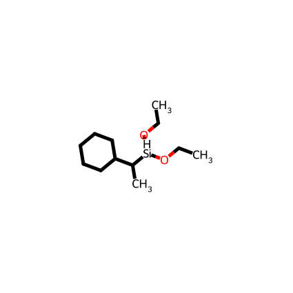 CCO[SiH](OCC)C(C)C1CCCCC1